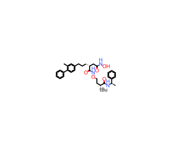 Cc1cc(CCC[C@H](CC(=O)NO)C(=O)NOCC[C@H](C(=O)N[C@H](C)c2ccccc2)C(C)(C)C)ccc1-c1ccccc1